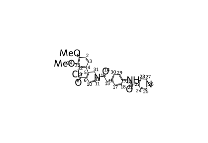 COc1ccc(C2=C(C(=O)Cl)C=CN(C(=O)Cc3ccc(NC(=O)c4ccncc4)cc3)C2)cc1OC